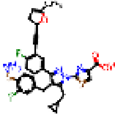 CC1=CCC(C#CC2=C(F)CCC(c3nn(-c4nc(C(=O)O)cs4)c(CC4CC4)c3Cc3ccc(SN)c(F)c3)=C2)O1